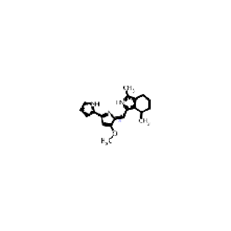 COC1=CC(c2ccc[nH]2)=N/C1=C\c1[nH]c(C)c2c1C(C)CCC2